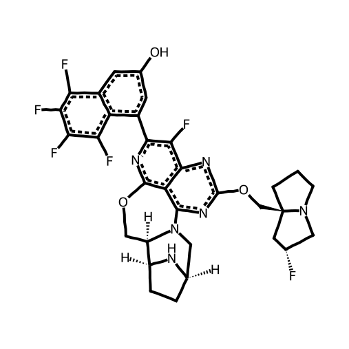 Oc1cc(-c2nc3c4c(nc(OC[C@@]56CCCN5C[C@H](F)C6)nc4c2F)N2C[C@H]4CC[C@H](N4)[C@H]2CO3)c2c(F)c(F)c(F)c(F)c2c1